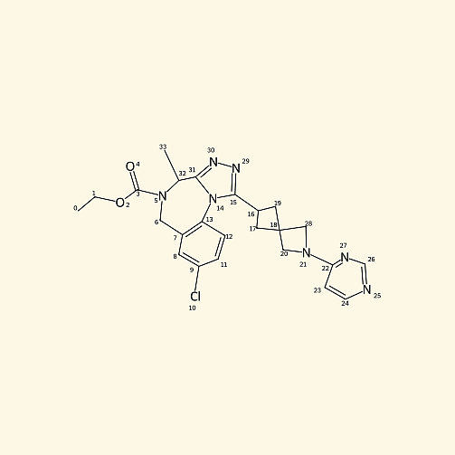 CCOC(=O)N1Cc2cc(Cl)ccc2-n2c(C3CC4(C3)CN(c3ccncn3)C4)nnc2C1C